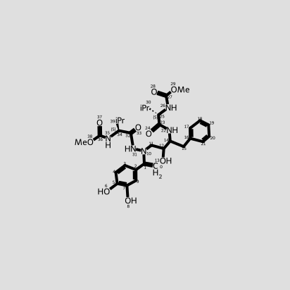 C=C(c1ccc(O)c(O)c1)N(CC(O)C(Cc1ccccc1)NC(=O)[C@@H](NC(=O)OC)C(C)C)NC(=O)[C@@H](NC(=O)OC)C(C)C